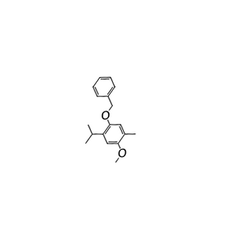 COc1cc(C(C)C)c(OCc2ccccc2)cc1C